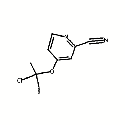 CC(C)(Cl)Oc1ccnc(C#N)c1